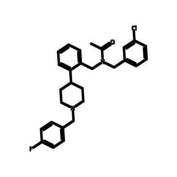 CC(=O)N(Cc1cccc(Cl)c1)Cc1ccccc1C1CCN(Cc2ccc(F)cc2)CC1